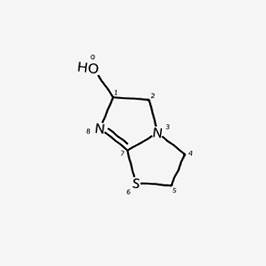 OC1CN2CCSC2=N1